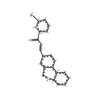 O=C(/C=C/c1ccc2c(ccc3ccccc32)c1)c1cccc(Br)n1